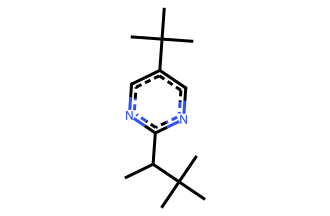 CC(c1ncc(C(C)(C)C)cn1)C(C)(C)C